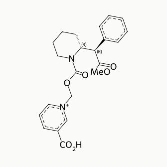 COC(=O)[C@H](c1ccccc1)[C@H]1CCCCN1C(=O)OC[n+]1cccc(C(=O)O)c1